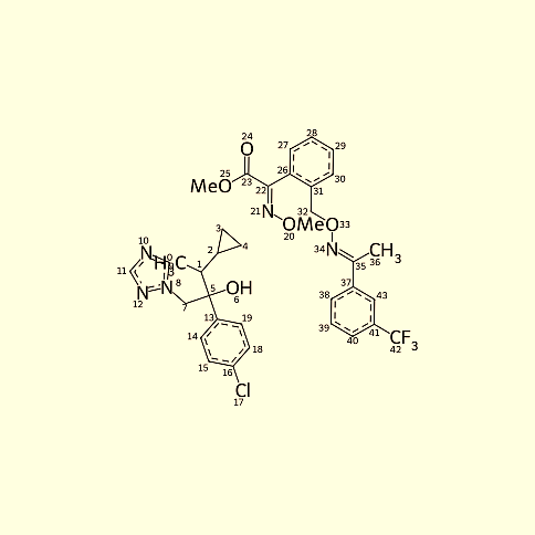 CC(C1CC1)C(O)(Cn1cncn1)c1ccc(Cl)cc1.CO/N=C(/C(=O)OC)c1ccccc1CO/N=C(\C)c1cccc(C(F)(F)F)c1